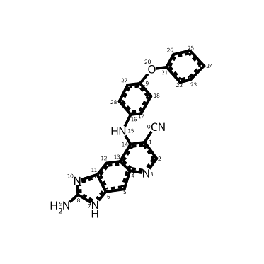 N#Cc1cnc2cc3[nH]c(N)nc3cc2c1Nc1ccc(Oc2ccccc2)cc1